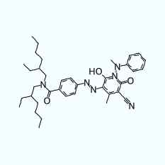 CCCCC(CC)CN(CC(CC)CCCC)C(=O)c1ccc(/N=N/c2c(C)c(C#N)c(=O)n(N(C)c3ccccc3)c2O)cc1